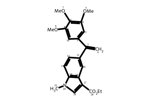 C=C(c1cc(OC)c(OC)c(OC)c1)c1ccc2c(c1)c(C(=O)OCC)cn2C